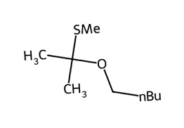 CCCCCOC(C)(C)SC